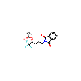 CC(=O)O[C@@H](C[CH]CN1C(=O)c2ccccc2C1=O)C(F)(F)F